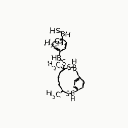 C=C(BS)/C=C\C(BSC1(C)CCCC(C)SBc2ccc(cc2)BS1)=C/C